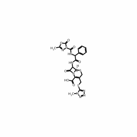 Cc1nn(C(=O)NC(C(=O)NC2C(=O)N3C(C(=O)O)=C(CSc4nnnn4C)CS[C@H]23)c2ccccc2)c(=O)o1